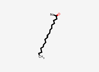 CCCCCCCCC=CCCCCCCC[C](=O)[Na]